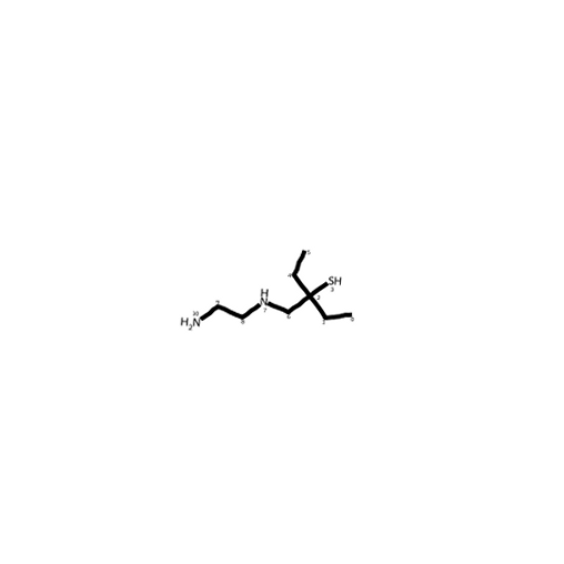 CCC(S)(CC)CNCCN